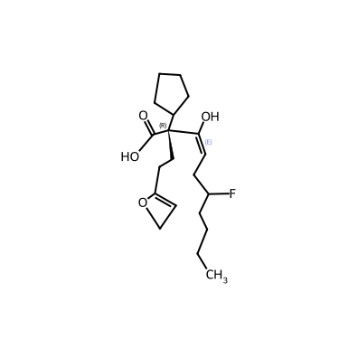 CCCCC(F)C/C=C(/O)[C@](CCC1=CCO1)(C(=O)O)C1CCCC1